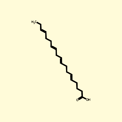 CCC=CCCC=CCC=CCCC=CCCCC(=O)O